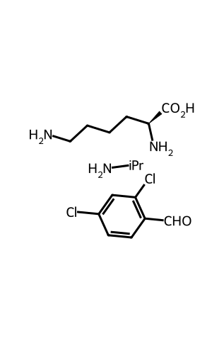 CC(C)N.NCCCC[C@H](N)C(=O)O.O=Cc1ccc(Cl)cc1Cl